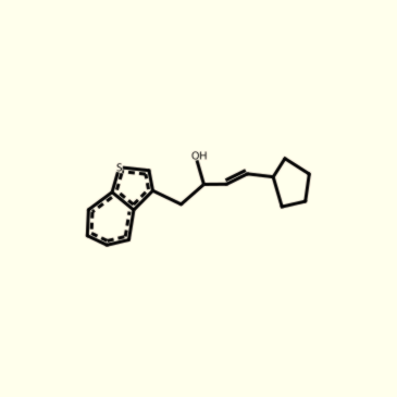 OC(/C=C/C1CCCC1)Cc1csc2ccccc12